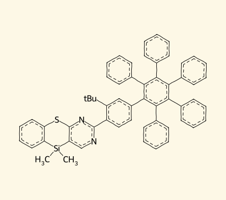 CC(C)(C)c1cc(-c2c(-c3ccccc3)c(-c3ccccc3)c(-c3ccccc3)c(-c3ccccc3)c2-c2ccccc2)ccc1-c1ncc2c(n1)Sc1ccccc1[Si]2(C)C